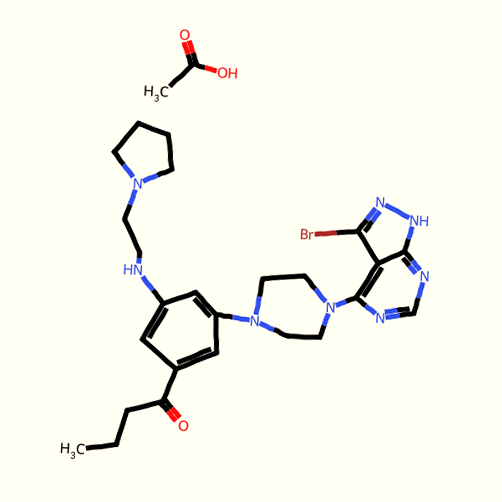 CC(=O)O.CCCC(=O)c1cc(NCCN2CCCC2)cc(N2CCN(c3ncnc4[nH]nc(Br)c34)CC2)c1